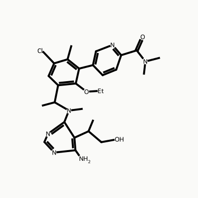 CCOc1c(C(C)N(C)c2ncnc(N)c2C(C)CO)cc(Cl)c(C)c1-c1ccc(C(=O)N(C)C)nc1